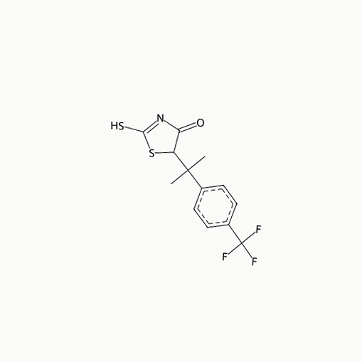 CC(C)(c1ccc(C(F)(F)F)cc1)C1SC(S)=NC1=O